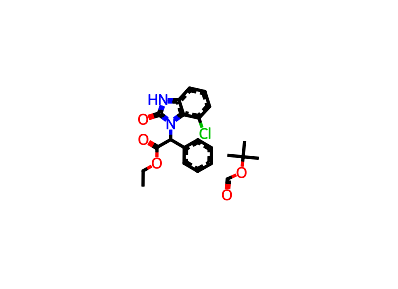 CC(C)(C)OC=O.CCOC(=O)C(c1ccccc1)n1c(=O)[nH]c2cccc(Cl)c21